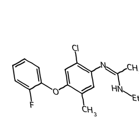 CCNC(C)=Nc1cc(C)c(Oc2ccccc2F)cc1Cl